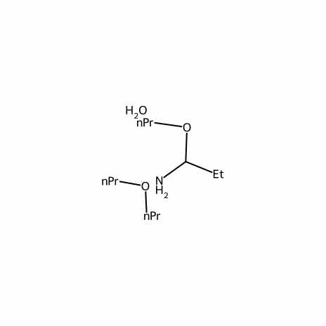 CCCOC(N)CC.CCCOCCC.O